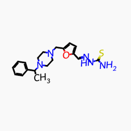 CC(c1ccccc1)N1CCN(Cc2ccc(/C=N/NC(N)=S)o2)CC1